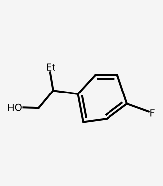 CCC(CO)c1ccc(F)cc1